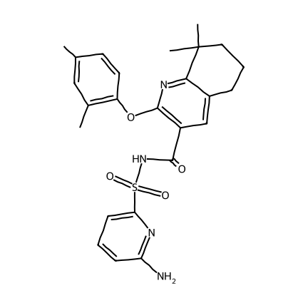 Cc1ccc(Oc2nc3c(cc2C(=O)NS(=O)(=O)c2cccc(N)n2)CCCC3(C)C)c(C)c1